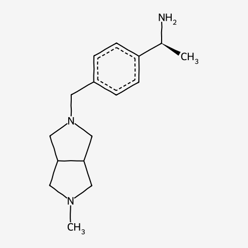 C[C@H](N)c1ccc(CN2CC3CN(C)CC3C2)cc1